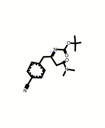 CN(C)C(=O)C/C(Cc1ccc(C#N)cc1)=N\C(=O)OC(C)(C)C